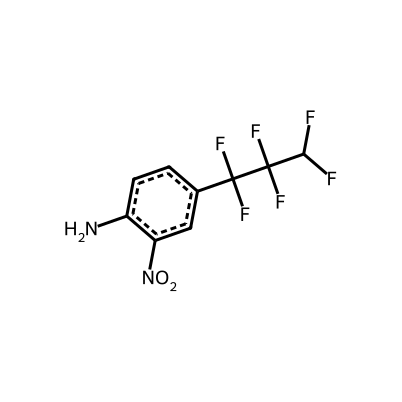 Nc1ccc(C(F)(F)C(F)(F)C(F)F)cc1[N+](=O)[O-]